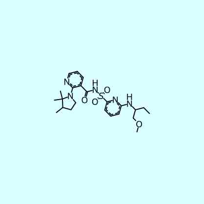 CCC(COC)Nc1cccc(S(=O)(=O)NC(=O)c2cccnc2N2CCC(C)C2(C)C)n1